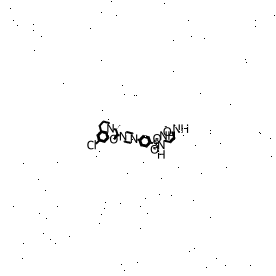 COC(=N)/C=C\C(=N)NS(=O)(=O)c1ccc(N2CCN(C(=O)[C@@H](C)N3CCCc4cc(Cl)ccc43)CC2)cc1